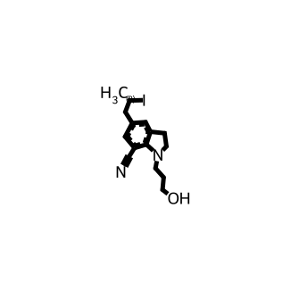 C[C@@H](I)Cc1cc(C#N)c2c(c1)CCN2CCCO